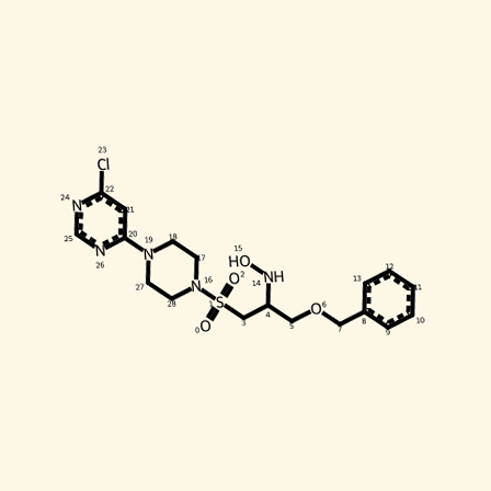 O=S(=O)(CC(COCc1ccccc1)NO)N1CCN(c2cc(Cl)ncn2)CC1